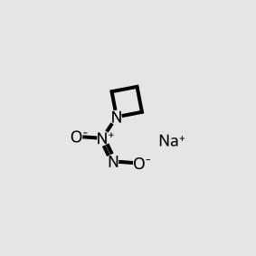 [Na+].[O-]/N=[N+](/[O-])N1CCC1